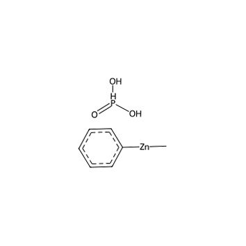 O=[PH](O)O.[CH3][Zn][c]1ccccc1